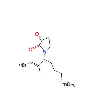 CCCCC=C(C)C(CCCCCCCCCCCCCC)N1CCC(=O)C1=O